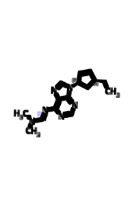 CC[C@@H]1C=C[C@H](n2cnc3c(/N=C/N(C)C)ncnc32)C1